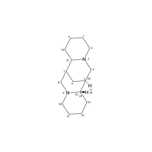 C1CCN2C[C@@H]3CC(CN4CCCC[C@@H]34)C2C1